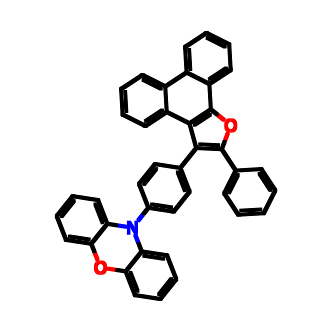 c1ccc(-c2oc3c4ccccc4c4ccccc4c3c2-c2ccc(N3c4ccccc4Oc4ccccc43)cc2)cc1